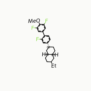 CCC1CC[C@@H]2C[C@H](c3ccc(-c4cc(F)c(OC)c(F)c4)c(F)c3)CC[C@@H]2C1